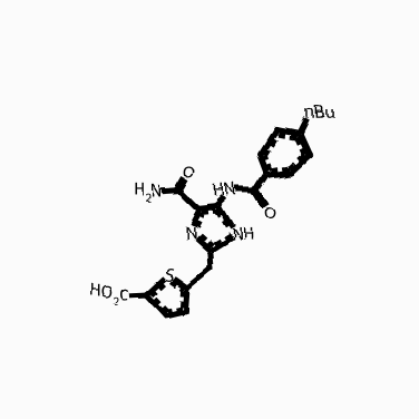 CCCCc1ccc(C(=O)Nc2[nH]c(Cc3ccc(C(=O)O)s3)nc2C(N)=O)cc1